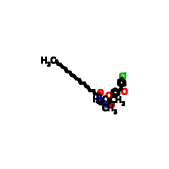 CCC=CCC=CCC=CCC=CCC=CCCCC(=O)N1CCC(N(C)C(=O)C(C)(C)Oc2ccc(C(=O)c3ccc(Cl)cc3)cc2)C1